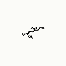 CC(C)=CCCCCBr.[MgH2]